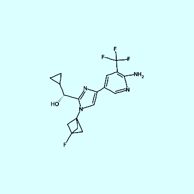 Nc1ncc(-c2cn(C34CC(F)(C3)C4)c([C@H](O)C3CC3)n2)cc1C(F)(F)F